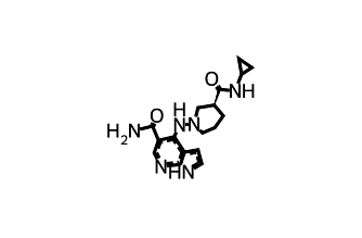 NC(=O)c1cnc2[nH]ccc2c1NN1CCC[C@H](C(=O)NC2CC2)C1